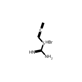 Br.C=C=CSC(=N)N